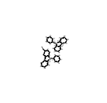 Ic1ccc2c(c1)c1ccccc1n2-c1ccccc1.c1ccc(-n2c3ccccc3c3ccccc32)cc1